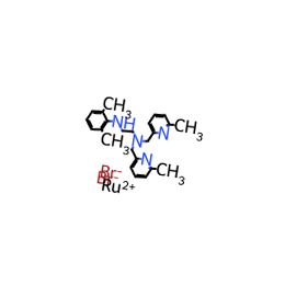 Cc1cccc(CN(CCNc2c(C)cccc2C)Cc2cccc(C)n2)n1.[Br-].[Br-].[Ru+2]